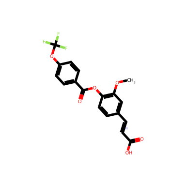 COc1cc(/C=C/C(=O)O)ccc1OC(=O)c1ccc(OC(F)(F)F)cc1